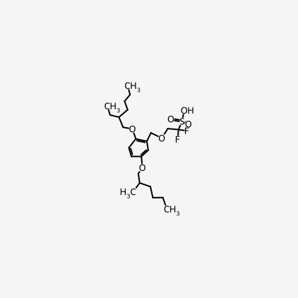 CCCCC(C)COc1ccc(OCC(CC)CCCC)c(COCC(F)(F)S(=O)(=O)O)c1